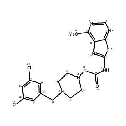 COc1ncnc2sc(NC(=O)ON3CCN(Cc4cc(Cl)cc(Cl)c4)CC3)nc12